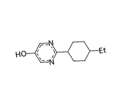 CCC1CCC(c2ncc(O)cn2)CC1